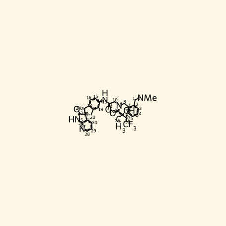 CNCc1ccccc1CN(CC(=O)Nc1ccc2c(c1)C[C@@]1(C2)C(=O)Nc2ncccc21)C(=O)C(C)(C)CC(F)(F)F